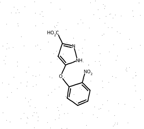 O=C(O)c1cc(Oc2ccccc2[N+](=O)[O-])[nH]n1